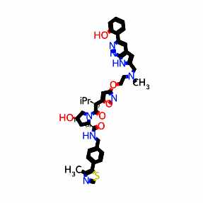 Cc1ncsc1-c1ccc(CNC(=O)[C@@H]2C[C@@H](O)CN2C(=O)[C@@H](c2cc(OCCN(C)Cc3cc4cc(-c5ccccc5O)nnc4[nH]3)no2)C(C)C)cc1